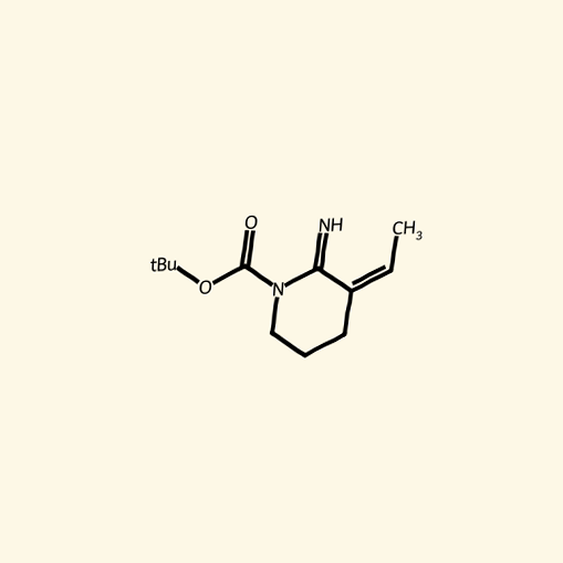 C/C=C1/CCCN(C(=O)OC(C)(C)C)C1=N